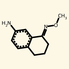 CON=C1CCCc2ccc(N)cc21